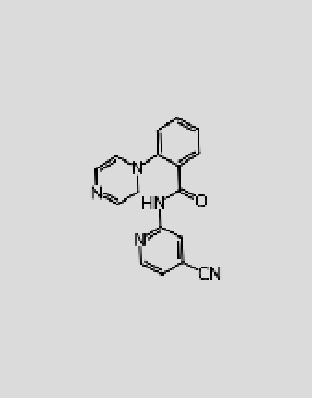 N#Cc1ccnc(NC(=O)c2ccccc2N2C=CN=CC2)c1